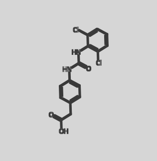 O=C(O)Cc1ccc(NC(=O)Nc2c(Cl)cccc2Cl)cc1